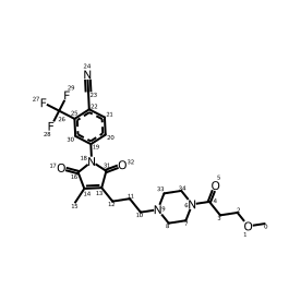 COCCC(=O)N1CCN(CCCC2=C(C)C(=O)N(c3ccc(C#N)c(C(F)(F)F)c3)C2=O)CC1